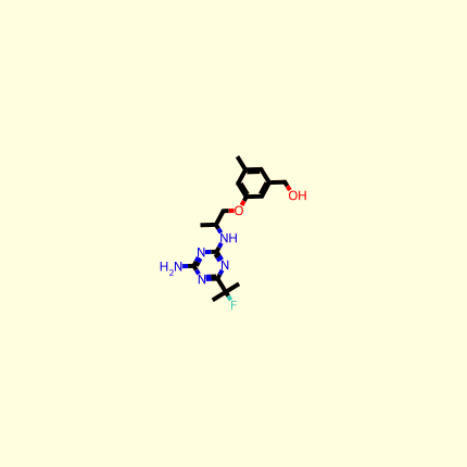 Cc1cc(CO)cc(OCC(C)Nc2nc(N)nc(C(C)(C)F)n2)c1